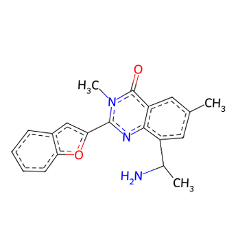 Cc1cc(C(C)N)c2nc(-c3cc4ccccc4o3)n(C)c(=O)c2c1